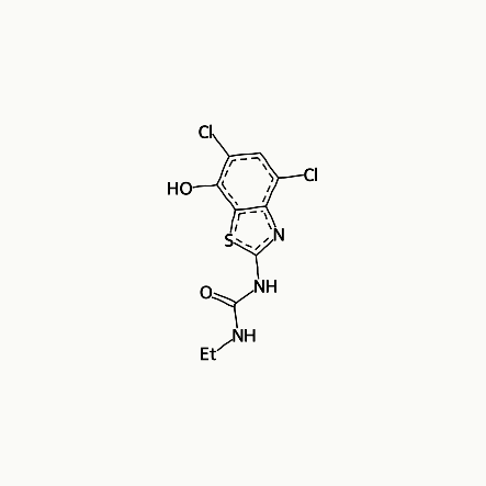 CCNC(=O)Nc1nc2c(Cl)cc(Cl)c(O)c2s1